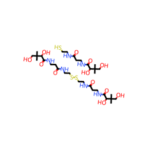 CC(C)(CO)C(O)C(=O)NCCC(=O)NCCS.CC(C)(CO)C(O)C(=O)NCCC(=O)NCCSSCCNC(=O)CCNC(=O)C(O)C(C)(C)CO